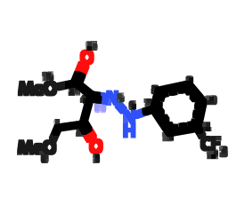 COCC(=O)/C(=N\Nc1cccc(C(F)(F)F)c1)C(=O)OC